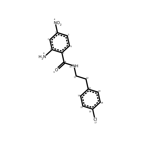 Nc1cc([N+](=O)[O-])ccc1C(=O)NCCc1ccc(Cl)cc1